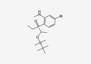 CCP(=O)(c1ccc(Br)cc1NC)C(C)O[Si](C)(C)C(C)(C)C